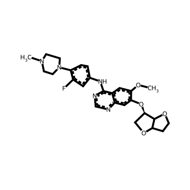 COc1cc2c(Nc3ccc(N4CCN(C)CC4)c(F)c3)ncnc2cc1O[C@@H]1COC2CCOC21